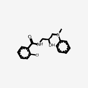 CN(CC(O)CNC(=O)c1ccccc1Cl)c1ccccc1